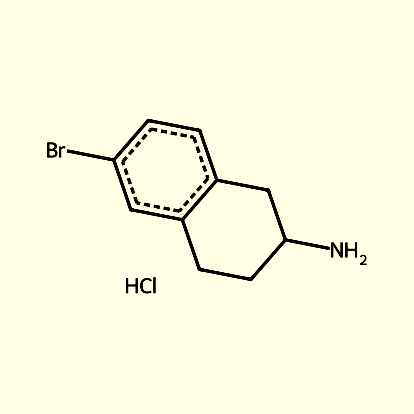 Cl.NC1CCc2cc(Br)ccc2C1